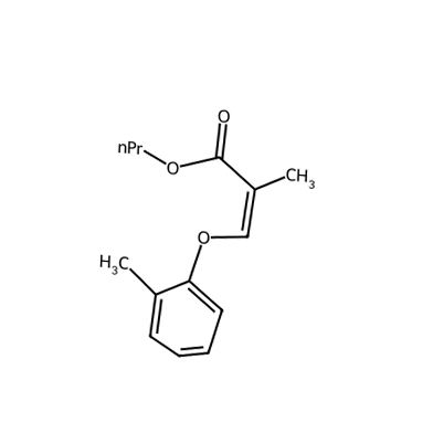 CCCOC(=O)C(C)=COc1ccccc1C